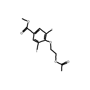 COC(=O)c1cc(I)c(OCCOC(C)=O)c(I)c1